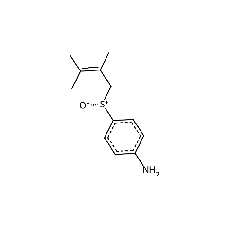 CC(C)=C(C)C[S@@+]([O-])c1ccc(N)cc1